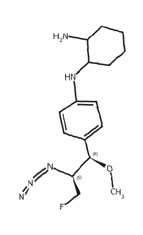 CO[C@H](c1ccc(NC2CCCCC2N)cc1)[C@@H](CF)N=[N+]=[N-]